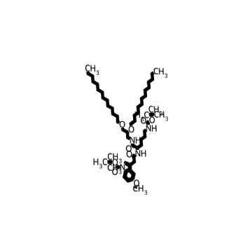 CCCCCCCCCCCCCCOCC(CNC(=O)C(CCCCNC(=O)OC(C)(C)C)NC(=O)Cc1cn(C(=O)OC(C)(C)C)c2ccc(OC)cc12)OCCCCCCCCCCCCCC